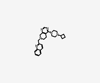 c1ccc2nc(CN3CCc4c(ncnc4N4CCN(C5CCC5)CC4)C3)ccc2c1